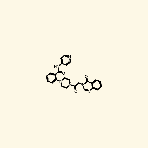 O=C(Nc1ccncc1)c1ccccc1N1CCN(C(=O)Cn2cnc3ccccc3c2=O)CC1